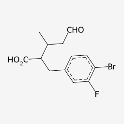 CC(CC=O)C(Cc1ccc(Br)c(F)c1)C(=O)O